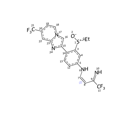 CC[S+]([O-])c1cc(N/C=C\C(=N)C(F)(F)F)ccc1-c1cn2ccc(C(F)(F)F)cc2n1